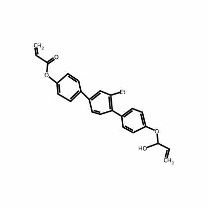 C=CC(=O)Oc1ccc(-c2ccc(-c3ccc(OC(O)C=C)cc3)c(CC)c2)cc1